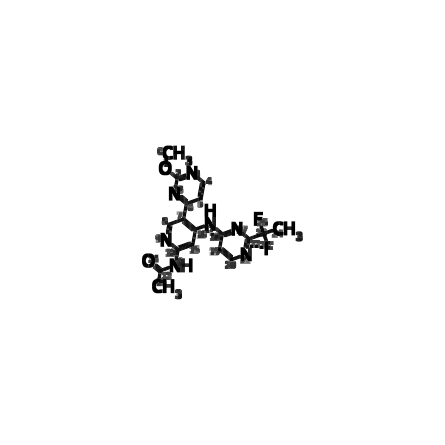 COc1nccc(-c2cnc(NC(C)=O)cc2Nc2ccnc(C(C)(F)F)n2)n1